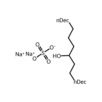 CCCCCCCCCCCCCC(O)CCCCCCCCCCCC.O=S(=O)([O-])[O-].[Na+].[Na+]